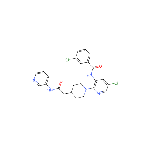 O=C(CC1CCN(c2ncc(Cl)cc2NC(=O)c2cccc(Cl)c2)CC1)Nc1cccnc1